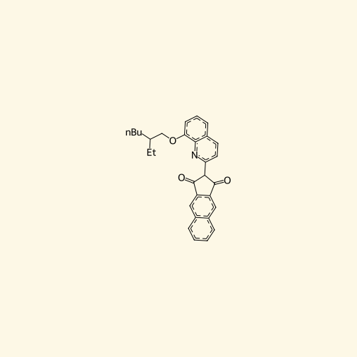 CCCCC(CC)COc1cccc2ccc(C3C(=O)c4cc5ccccc5cc4C3=O)nc12